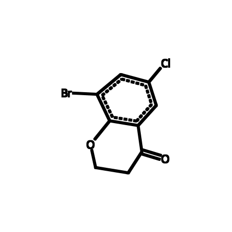 O=C1CCOc2c(Br)cc(Cl)cc21